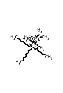 CCCCCCCC[Si](CCCCCCCC)(CCCCCCCC)O[Si](OCC)(OCC)O[Si](OCC)(OCC)OCC